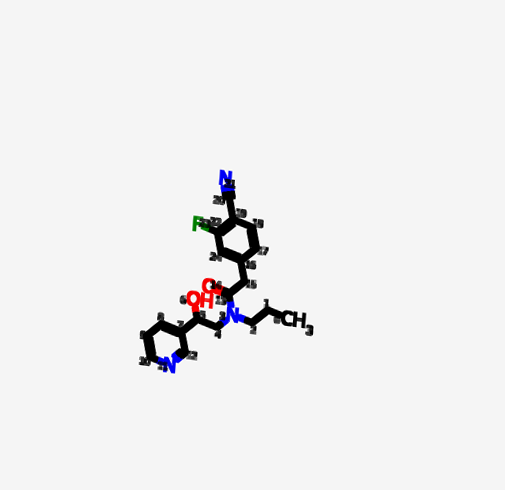 CCCN(CC(O)c1cccnc1)C(=O)Cc1ccc(C#N)c(F)c1